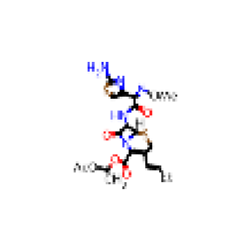 CC/C=C/C1=C(C(=O)OC(C)OC(C)=O)N2C(=O)[C@@H](NC(=O)/C(=N\OC)c3csc(N)n3)[C@@H]2SC1